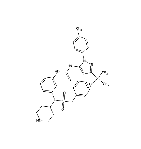 Cc1ccc(-n2nc(C(C)(C)C)cc2NC(=O)Nc2cccc(C(C3CCNCC3)S(=O)(=O)Cc3ccccc3)c2)cc1